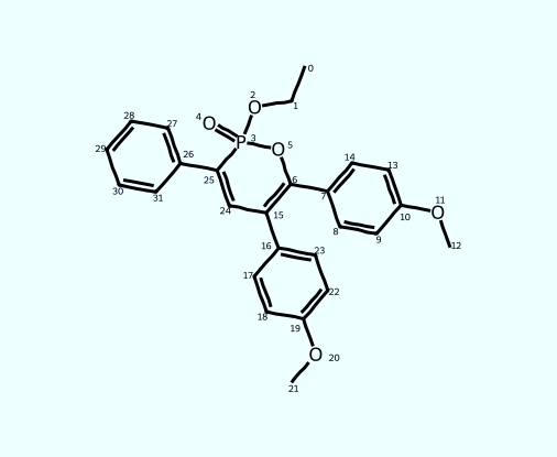 CCOP1(=O)OC(c2ccc(OC)cc2)=C(c2ccc(OC)cc2)C=C1c1ccccc1